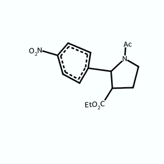 CCOC(=O)C1CCN(C(C)=O)C1c1ccc([N+](=O)[O-])cc1